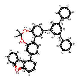 CC1(C)Oc2cc(-c3cccc4oc5ccccc5c34)ccc2-c2cc(-c3cc(-c4ccccc4)cc(-c4ccccc4)c3)ccc2O1